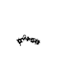 O=C(CCc1cccc(I)c1)N1CC(N2CCN(c3ncccn3)CC2)C1